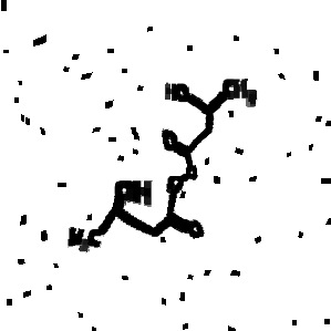 CC(O)CC(=O)OOC(=O)CC(C)O